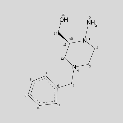 NN1CCN(Cc2ccccc2)C[C@H]1CO